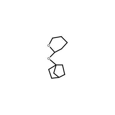 C1CCC(OC23CCC(CC2)C3)OC1